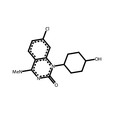 CNc1nc(=O)n(C2CCC(O)CC2)c2cc(Cl)ccc12